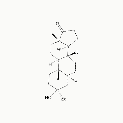 CC[C@]1(O)CC[C@@]2(C)[C@@H](CC[C@@H]3[C@@H]2CC[C@]2(C)C(=O)CC[C@@H]32)C1